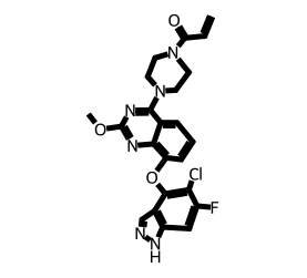 C=CC(=O)N1CCN(c2nc(OC)nc3c(Oc4c(Cl)c(F)cc5[nH]ncc45)cccc23)CC1